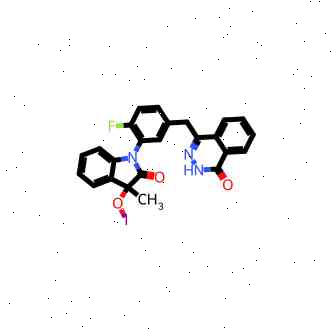 CC1(OI)C(=O)N(c2cc(Cc3n[nH]c(=O)c4ccccc34)ccc2F)c2ccccc21